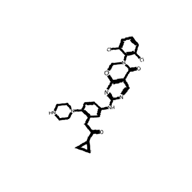 O=C(Cc1cc(Nc2ncc3c(n2)OCN(c2c(Cl)cccc2Cl)C3=O)ccc1N1CCNCC1)C1CC1